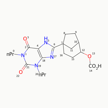 CCCn1c(=O)c2[nH]c(C34CCC(C3)C(OC(=O)O)CC4)nc2n(CCC)c1=O